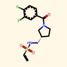 C=CS(=O)(=O)NC[C@H]1CCN(C(=O)c2ccc(F)c(F)c2)C1